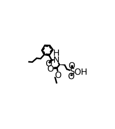 CCCCc1ccccc1C(=O)N[C@@H](CCS(=O)(=O)O)C(=O)OCC